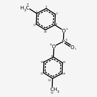 Cc1ccc(O[P](=O)Oc2ccc(C)cc2)cc1